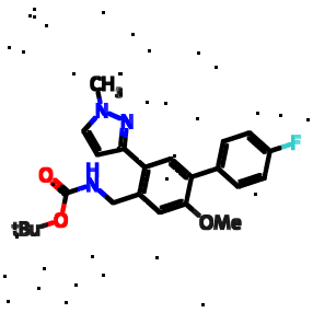 COc1cc(CNC(=O)OC(C)(C)C)c(-c2ccn(C)n2)cc1-c1ccc(F)cc1